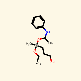 CCO[Si](C)(CCCO)OC(C)Nc1ccccc1